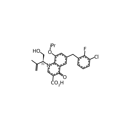 C=C(C)[C@@H](CO)n1cc(C(=O)O)c(=O)c2cc(Cc3cccc(Cl)c3F)cc(OC(C)C)c21